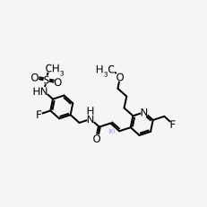 COCCCc1nc(CF)ccc1/C=C/C(=O)NCc1ccc(NS(C)(=O)=O)c(F)c1